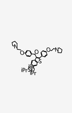 CC(C)[Si](Oc1ccc2c(C(=O)c3ccc(OCCN4CCCC4)cc3)c(-c3ccc(OCCN4CCCC4)cc3)sc2c1)(C(C)C)C(C)C